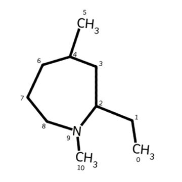 CCC1CC(C)CCCN1C